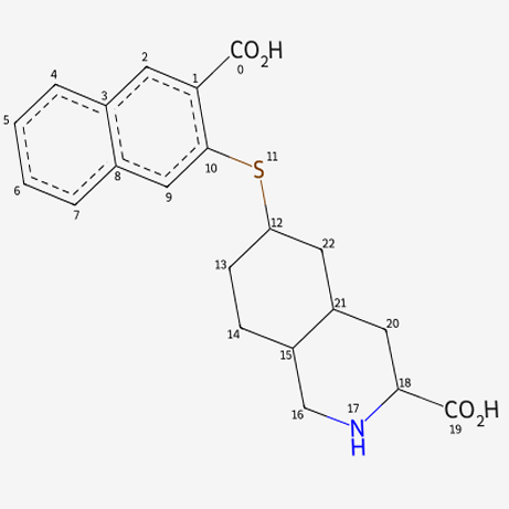 O=C(O)c1cc2ccccc2cc1SC1CCC2CNC(C(=O)O)CC2C1